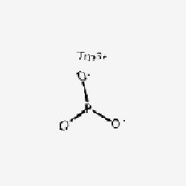 [O-]P([O-])[O-].[Tm+3]